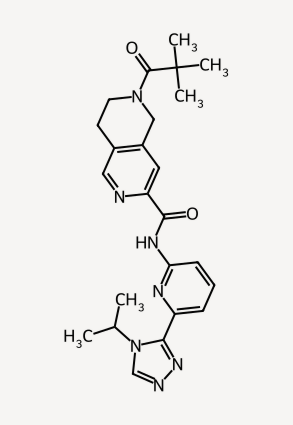 CC(C)n1cnnc1-c1cccc(NC(=O)c2cc3c(cn2)CCN(C(=O)C(C)(C)C)C3)n1